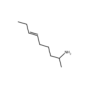 CCC=CCCCC(C)N